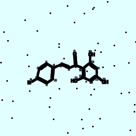 O=C(C=Cc1ccc(Br)cc1)c1c(O)cc(O)cc1O